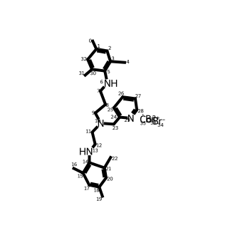 Cc1cc(C)c(NCCCN(CCNc2c(C)cc(C)cc2C)Cc2ccccn2)c(C)c1.[Br-].[Br-].[Co+2]